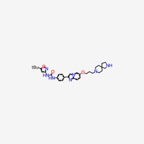 CC(C)(C)c1cc(NC(=O)Nc2ccc(-c3cn4cc(OCCCN5CCC6(CCNC6)CC5)ccc4n3)cc2)no1